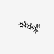 CC(CCn1cnc2cc(-c3ccccc3)c(F)cc2c1=O)(C(=O)NO)S(C)(=O)=O